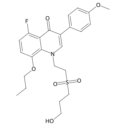 CCCOc1ccc(F)c2c(=O)c(-c3ccc(OC)cc3)cn(CCS(=O)(=O)CCCO)c12